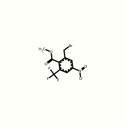 COC(=O)c1c(CBr)cc([N+](=O)[O-])cc1C(F)(F)F